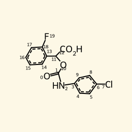 O=C(Nc1ccc(Cl)cc1)OC(C(=O)O)c1ccccc1F